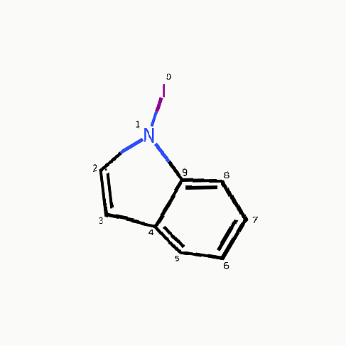 In1[c]cc2ccccc21